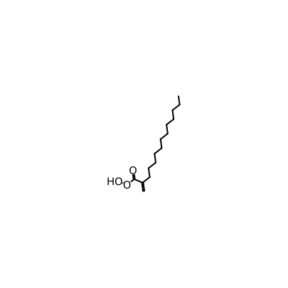 C=C(CCCCCCCCCCCC)C(=O)OO